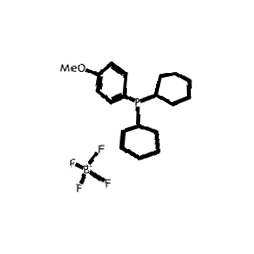 COc1ccc(P(C2CCCCC2)C2CCCCC2)cc1.F[B-](F)(F)F